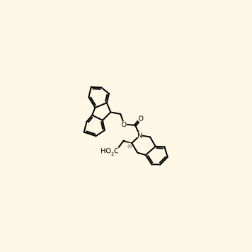 O=C(O)C[C@@H]1Cc2ccccc2CN1C(=O)OCC1c2ccccc2-c2ccccc21